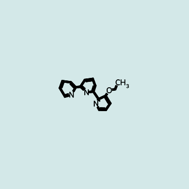 CCOc1cccnc1-c1cccc(-c2ccccn2)n1